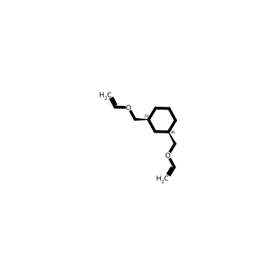 C=COC[C@H]1CCC[C@@H](COC=C)C1